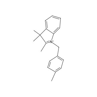 CC1=[N+](Cc2ccc(C)cc2)c2ccccc2C1(C)C